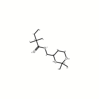 CCC(C)(C)C(=O)OCC1CCOC(C)(C)O1